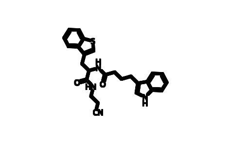 N#CCCNC(=O)C(Cc1csc2ccccc12)NC(=O)CCCc1c[nH]c2ccccc12